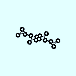 c1ccc(N(c2cccc(-c3ccc4c(c3)c3ccccc3n4-c3ccccc3)c2)c2ccc3ccc4c(N(c5ccccc5)c5cccc(-c6ccc7c(c6)c6ccccc6n7-c6ccccc6)c5)ccc5ccc2c3c54)cc1